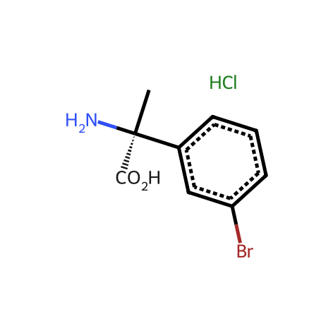 C[C@@](N)(C(=O)O)c1cccc(Br)c1.Cl